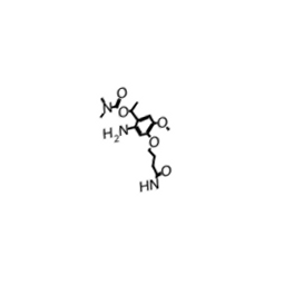 CNC(=O)CCCOc1cc(N)c(C(C)OC(=O)N(C)C)cc1OC